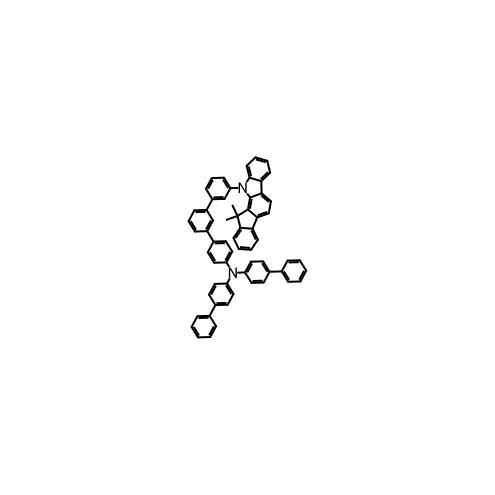 CC1(C)c2ccccc2-c2ccc3c4ccccc4n(-c4cccc(-c5cccc(-c6ccc(N(c7ccc(-c8ccccc8)cc7)c7ccc(-c8ccccc8)cc7)cc6)c5)c4)c3c21